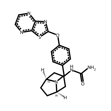 NC(=O)NC1C[C@H]2CC[C@@H](C1)N2Cc1ccc(Oc2nc3nccnc3s2)cc1